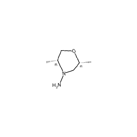 C[C@@H]1CN(N)[C@H](C)CO1